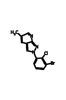 Cc1cnc2nn(-c3cccc(Br)c3Cl)cc2c1